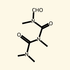 CN(C)C(=O)N(C)C(=O)N(C)C=O